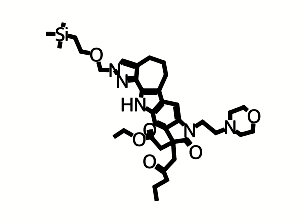 CCCC(=O)CC1(CC(=O)OCC)C(=O)N(CCN2CCOCC2)c2cc3c4c([nH]c3cc21)-c1nn(COCC[Si](C)(C)C)cc1CCC4